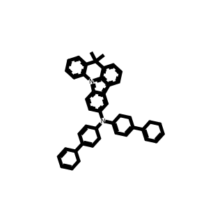 CC1(C)c2ccccc2-n2c3ccc(N(C4=CC=C(C5=CC=CCC5)CC4)C4C=CC(C5C=CC=CC5)=CC4)cc3c3cccc1c32